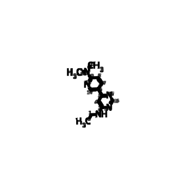 CCNc1cc(-c2ccc(N(C)C)nc2)ncn1